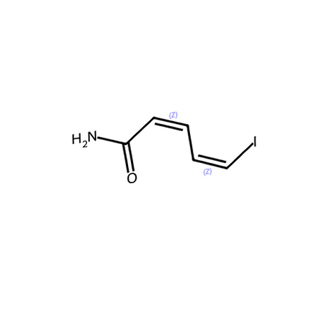 NC(=O)/C=C\C=C/I